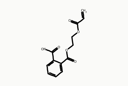 C=CC(=O)OCCOC(=O)c1ccccc1C(=O)N=O